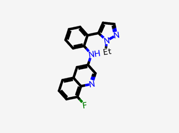 CCn1nccc1-c1ccccc1Nc1cnc2c(F)cccc2c1